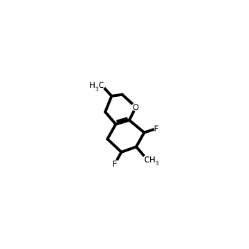 CC1COC2=C(C1)CC(F)C(C)C2F